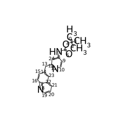 CC(C)(C)OC(=O)Nc1ccnc(Cc2ccc3ncccc3c2)c1